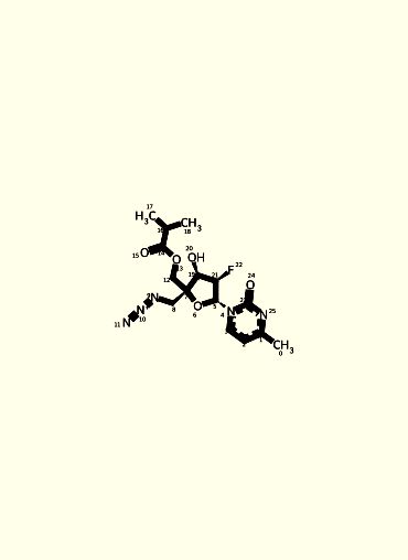 Cc1ccn([C@@H]2O[C@](CN=[N+]=[N-])(COC(=O)C(C)C)[C@@H](O)[C@H]2F)c(=O)n1